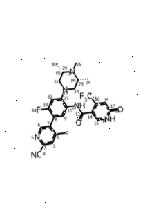 Cc1cc(C#N)ncc1-c1cc(NC(=O)c2c[nH]c(=O)cc2C(F)(F)F)c(N2C[C@@H](C)N(C)[C@@H](C)C2)cc1F